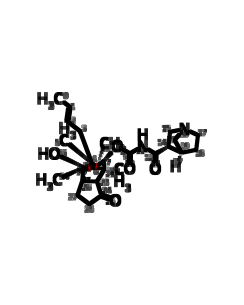 C/C=C/C[C@]1(C)C[C@@H](OC(=O)NC(=O)[C@H]2CN3CC[C@@H]2C3)[C@@]2(C)C3C(=O)CCC3(CC[C@H]2C)[C@@H](C)[C@@H]1O